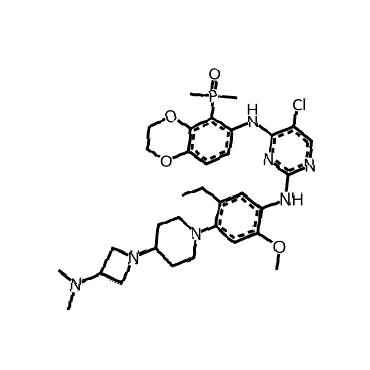 CCc1cc(Nc2ncc(Cl)c(Nc3ccc4c(c3P(C)(C)=O)OCCO4)n2)c(OC)cc1N1CCC(N2CC(N(C)C)C2)CC1